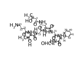 C[C@@H](O)CC(=O)NCC[C@H](NC(=O)CNC(=O)[C@@H](NC(=O)CCCN)[C@@H](C)O)C(=O)NCC(=O)N[C@H](Cc1ccccc1)C(=O)NCC=O